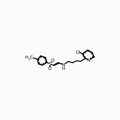 Cc1ccc(S(=O)(=O)C=CNCCCCc2ncccc2Cl)cc1